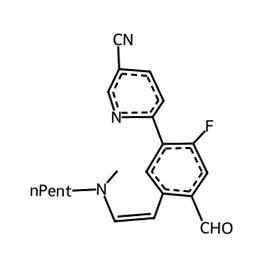 CCCCCN(C)/C=C\c1cc(-c2ccc(C#N)cn2)c(F)cc1C=O